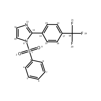 O=S(=O)(c1ccccc1)n1c[c]nc1-c1ccc(C(F)(F)F)cc1